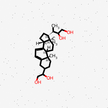 CC(C(O)CO)[C@H]1CC[C@H]2C3=CC=C4CC(C(O)CO)CC[C@]4(C)[C@H]3CC[C@]12C